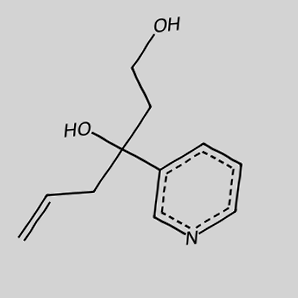 C=CCC(O)(CCO)c1cccnc1